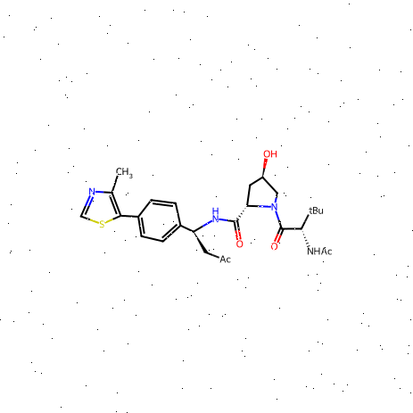 CC(=O)C[C@H](NC(=O)[C@@H]1C[C@@H](O)CN1C(=O)[C@@H](NC(C)=O)C(C)(C)C)c1ccc(-c2scnc2C)cc1